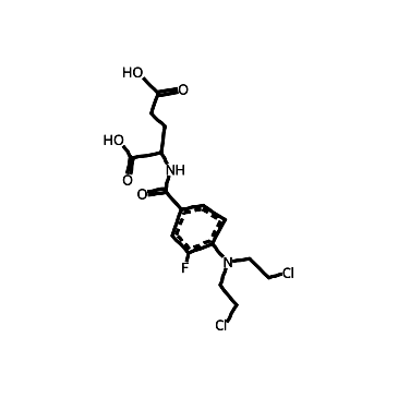 O=C(O)CCC(NC(=O)c1ccc(N(CCCl)CCCl)c(F)c1)C(=O)O